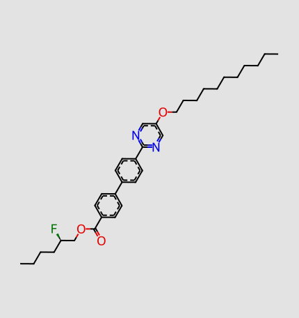 CCCCCCCCCCCOc1cnc(-c2ccc(-c3ccc(C(=O)OC[C@H](F)CCCC)cc3)cc2)nc1